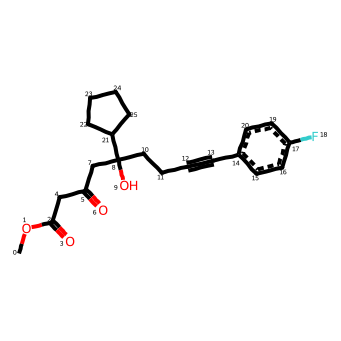 COC(=O)CC(=O)CC(O)(CCC#Cc1ccc(F)cc1)C1CCCC1